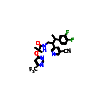 CC(c1ccc(F)c(F)c1)C(CNC(=O)C(C)(C)Oc1cc(C(F)(F)F)ncn1)c1cncc(C#N)c1